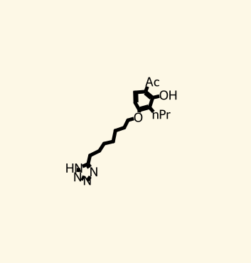 CCCc1c(OCCCCCCCc2nnn[nH]2)ccc(C(C)=O)c1O